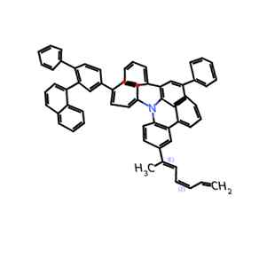 C=C/C=C\C=C(/C)c1ccc(N(c2ccc(-c3ccc(-c4ccccc4)c(-c4cccc5ccccc45)c3)cc2)c2ccc(-c3ccccc3)cc2-c2ccccc2)c(-c2ccccc2)c1